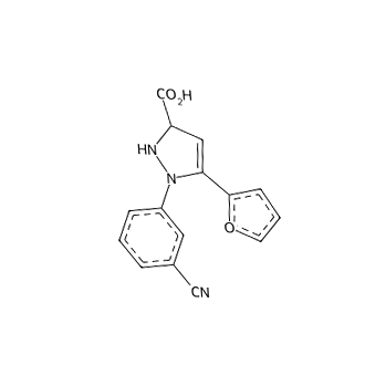 N#Cc1cccc(N2NC(C(=O)O)C=C2c2ccco2)c1